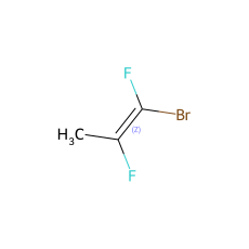 C/C(F)=C(\F)Br